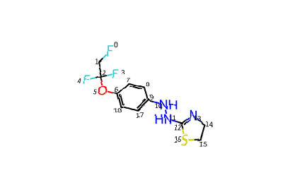 FCC(F)(F)Oc1ccc(NNC2=NCCS2)cc1